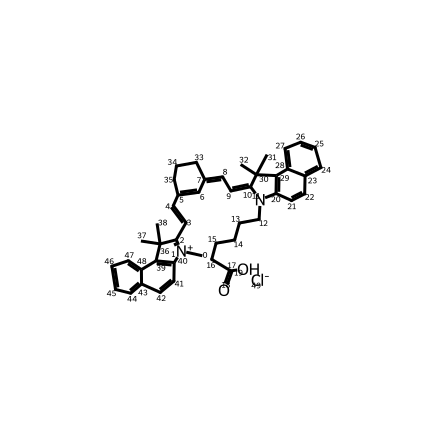 C[N+]1=C(C=CC2=CC(=CC=C3N(CCCCCC(=O)O)c4ccc5ccccc5c4C3(C)C)CCC2)C(C)(C)c2c1ccc1ccccc21.[Cl-]